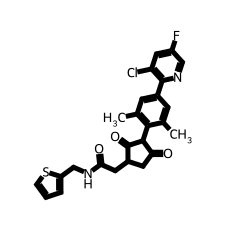 Cc1cc(-c2ncc(F)cc2Cl)cc(C)c1C1C(=O)CC(CC(=O)NCc2cccs2)C1=O